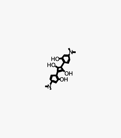 CN(C)c1ccc(C2=C(O)C(c3ccc(N(C)C)cc3O)C2O)c(O)c1